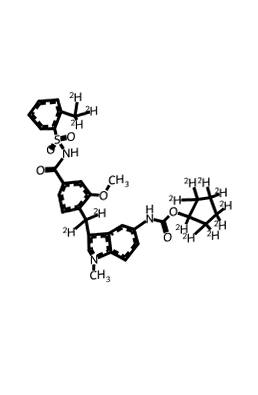 [2H]C([2H])([2H])c1ccccc1S(=O)(=O)NC(=O)c1ccc(C([2H])([2H])c2cn(C)c3ccc(NC(=O)OC4([2H])C([2H])([2H])C([2H])([2H])C([2H])([2H])C4([2H])[2H])cc23)c(OC)c1